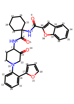 O=C(NC1(C(=O)NC2CCN(c3ccccc3-c3ccco3)CC2=O)CCCCC1)c1cc2ccccc2o1